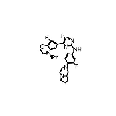 CC(C)N1CCOc2c(F)cc(-c3nc(Nc4ccc(N5CCN6CCCC6C5)c(F)c4)ncc3F)cc21